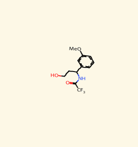 COc1cccc(C(CCO)NC(=O)C(F)(F)F)c1